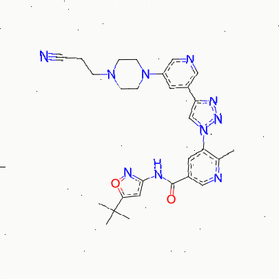 Cc1ncc(C(=O)Nc2cc(C(C)(C)C)on2)cc1-n1cc(-c2cncc(N3CCN(CCC#N)CC3)c2)nn1